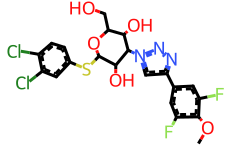 COc1c(F)cc(-c2cn(C3C(O)C(CO)OC(Sc4ccc(Cl)c(Cl)c4)C3O)nn2)cc1F